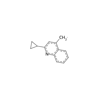 [CH2]c1cc(C2CC2)nc2ccccc12